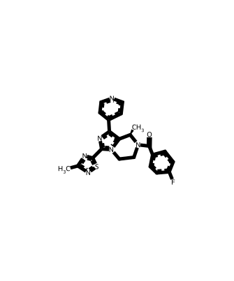 Cc1nsc(-c2nc(-c3ccncc3)c3n2CCN(C(=O)c2ccc(F)cc2)[C@@H]3C)n1